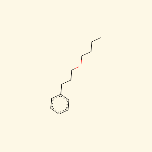 CCCCOCCCc1ccccc1